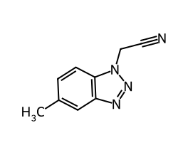 Cc1ccc2c(c1)nnn2CC#N